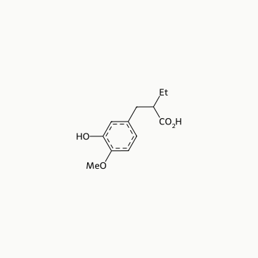 CCC(Cc1ccc(OC)c(O)c1)C(=O)O